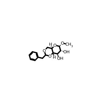 CO[C@H]1O[C@@H]2COC(Cc3ccccc3)O[C@H]2[C@H](O)[C@H]1O